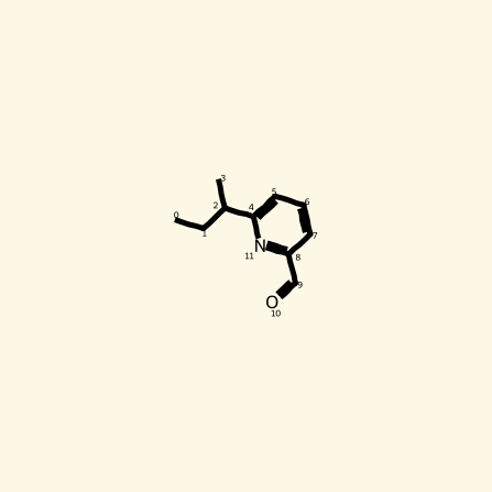 CCC(C)c1cccc(C=O)n1